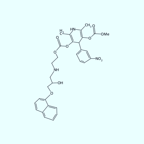 COC(=O)OC1=C(C)NC(C)=C(OC(=O)OCCNCC(O)COc2cccc3ccccc23)C1c1cccc([N+](=O)[O-])c1